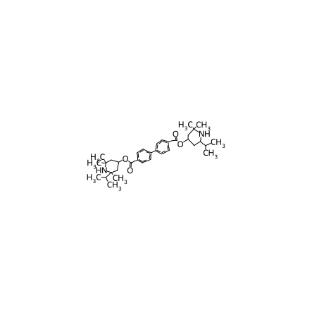 CC(C)C1CC(OC(=O)c2ccc(-c3ccc(C(=O)OC4CC(C)(C)NC(C)(C(C)C)C4)cc3)cc2)CC(C)(C)N1